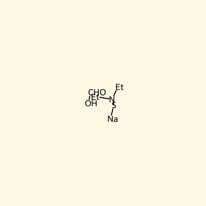 CCN(CC)[S][Na].O=CO